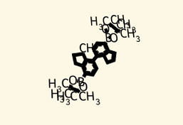 CC1CCc2c(B3OC(C)(C)C(C)(C)O3)ccc(-c3ccc(B4OC(C)(C)C(C)(C)O4)c4c3CC=C4)c21